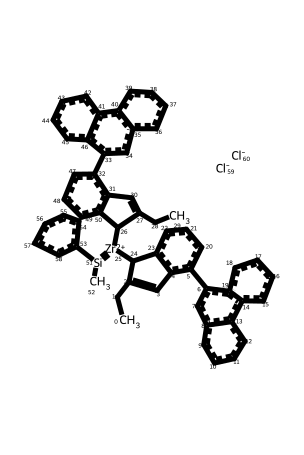 CCC1=Cc2c(-c3cc4ccccc4c4ccccc34)cccc2[CH]1[Zr+2]([CH]1C(CC)=Cc2c(-c3cc4ccccc4c4ccccc34)cccc21)=[Si](C)c1ccccc1.[Cl-].[Cl-]